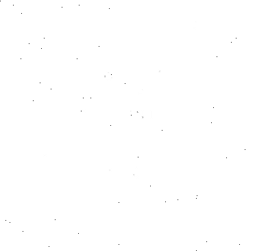 O=C(Nc1ccccc1[SH]1C=CC=C1)c1ccccc1